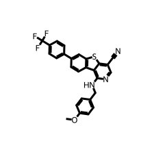 COc1ccc(CNc2ncc(C#N)c3sc4cc(-c5ccc(C(F)(F)F)cc5)ccc4c23)cc1